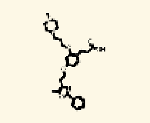 Cc1oc(-c2ccccc2)nc1CCOc1ccc(CCC(=O)O)c(OCCCN2CCN(C)CC2)c1